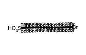 O=S(=O)(O)C(Br)(Br)C(Br)(Br)C(Br)(Br)C(Br)(Br)C(Br)(Br)C(Br)(Br)C(Br)(Br)C(Br)(Br)C(Br)(Br)C(Br)(Br)C(Br)(Br)C(Br)(Br)C(Br)(Br)C(Br)(Br)C(Br)(Br)C(Br)(Br)C(Br)(Br)C(Br)(Br)C(Br)(Br)Br